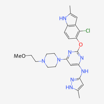 COCCN1CCN(c2cc(Nc3cc(C)[nH]n3)nc(Oc3ccc4[nH]c(C)cc4c3Cl)n2)CC1